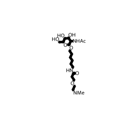 CNCCOCCC(=O)NCCCCCCOC1OC(CO)C(O)C(O)C1NC(C)=O